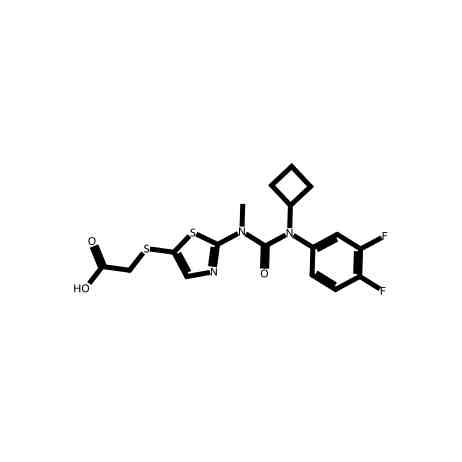 CN(C(=O)N(c1ccc(F)c(F)c1)C1CCC1)c1ncc(SCC(=O)O)s1